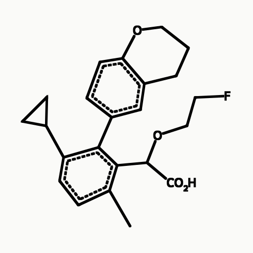 Cc1ccc(C2CC2)c(-c2ccc3c(c2)CCCO3)c1C(OCCF)C(=O)O